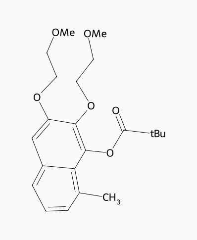 COCCOc1cc2cccc(C)c2c(OC(=O)C(C)(C)C)c1OCCOC